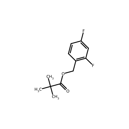 CC(C)(C)C(=O)OCc1ccc(F)cc1F